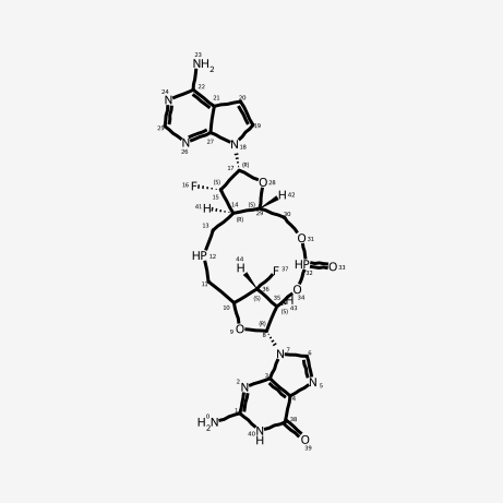 Nc1nc2c(ncn2[C@@H]2OC3CPC[C@H]4[C@H](F)[C@H](n5ccc6c(N)ncnc65)O[C@@H]4CO[PH](=O)O[C@@H]2[C@H]3F)c(=O)[nH]1